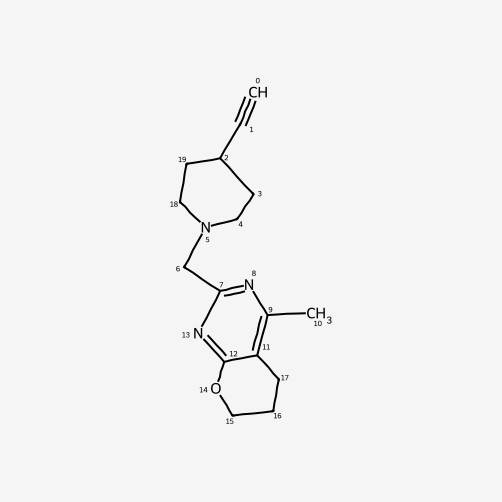 C#CC1CCN(Cc2nc(C)c3c(n2)OCCC3)CC1